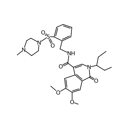 CCC(CC)n1cc(C(=O)NCc2ccccc2S(=O)(=O)N2CCN(C)CC2)c2cc(OC)c(OC)cc2c1=O